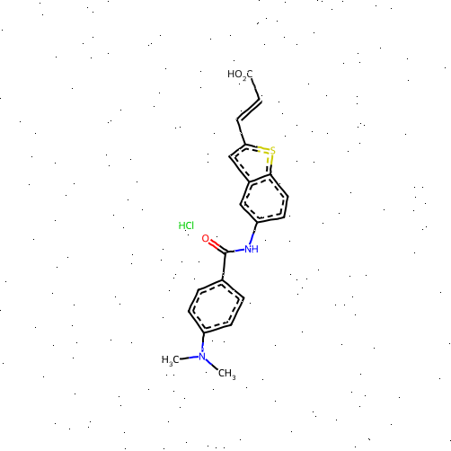 CN(C)c1ccc(C(=O)Nc2ccc3sc(/C=C/C(=O)O)cc3c2)cc1.Cl